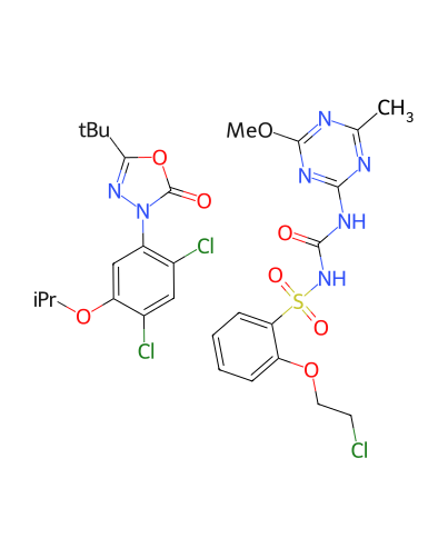 CC(C)Oc1cc(-n2nc(C(C)(C)C)oc2=O)c(Cl)cc1Cl.COc1nc(C)nc(NC(=O)NS(=O)(=O)c2ccccc2OCCCl)n1